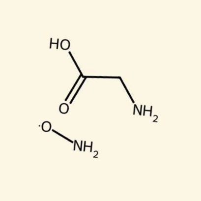 NCC(=O)O.N[O]